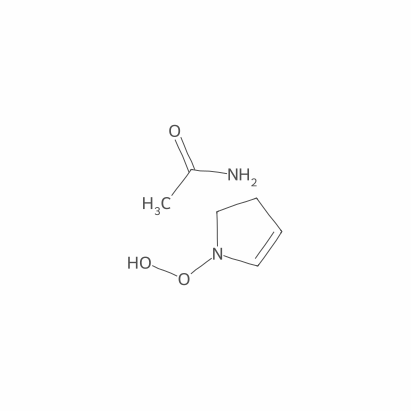 CC(N)=O.OON1C=CCC1